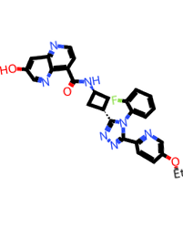 CCOc1ccc(-c2nnc([C@H]3C[C@H](NC(=O)c4ccnc5cc(O)cnc45)C3)n2-c2ccccc2F)nc1